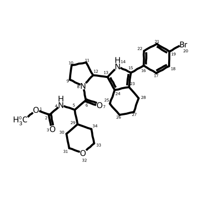 COC(=O)NC(C(=O)N1CCCC1c1[nH]c(-c2ccc(Br)cc2)c2c1CCCC2)C1CCOCC1